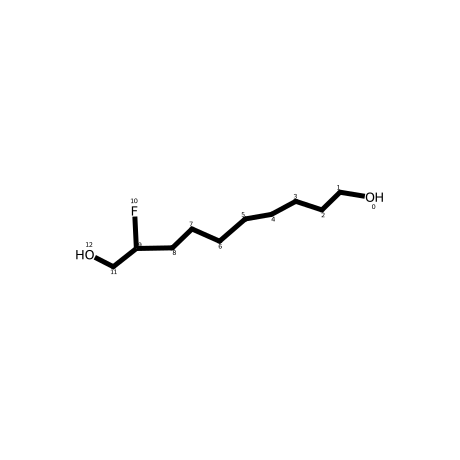 OCCCCCCCCC(F)CO